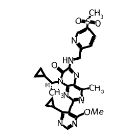 COc1ncnc(C2CC2)c1-c1nc(C)c2nc(NCc3ccc(S(C)(=O)=O)cn3)c(=O)n([C@H](C)C3CC3)c2n1